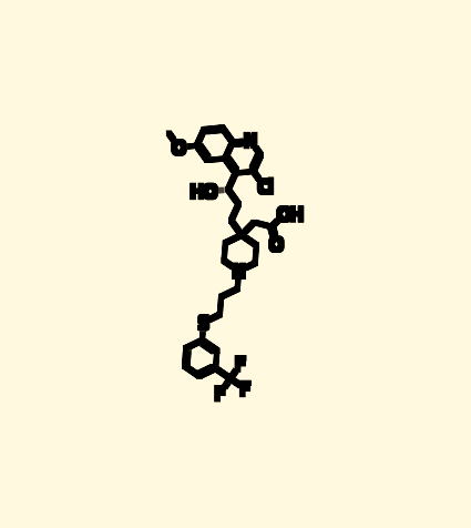 COc1ccc2ncc(Cl)c([C@@H](O)CCC3(CC(=O)O)CCN(CCCSc4cccc(C(F)(F)F)c4)CC3)c2c1